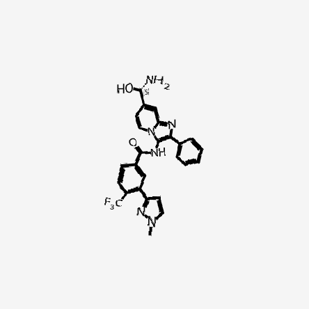 Cn1ccc(-c2cc(C(=O)Nc3c(-c4ccccc4)nc4cc([C@@H](N)O)ccn34)ccc2C(F)(F)F)n1